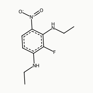 CCNc1ccc([N+](=O)[O-])c(NCC)c1F